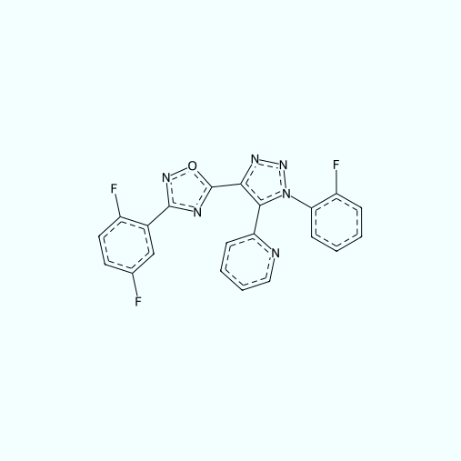 Fc1ccc(F)c(-c2noc(-c3nnn(-c4ccccc4F)c3-c3ccccn3)n2)c1